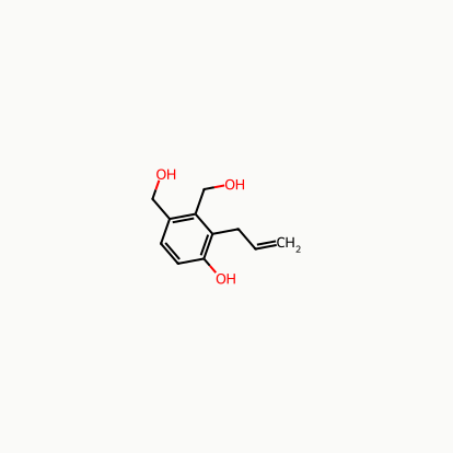 C=CCc1c(O)ccc(CO)c1CO